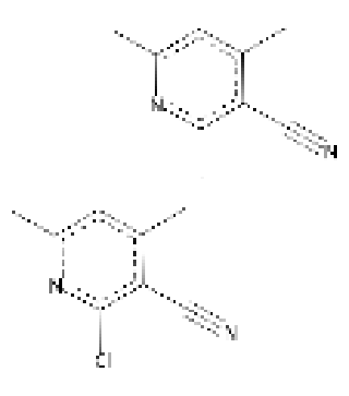 Cc1cc(C)c(C#N)c(C)n1.Cc1cc(C)c(C#N)c(Cl)n1